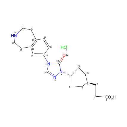 Cl.O=C(O)CC[C@H]1CC[C@H](n2ncn(-c3ccc4c(c3)CCNCC4)c2=O)CC1